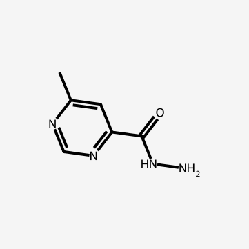 Cc1cc(C(=O)NN)ncn1